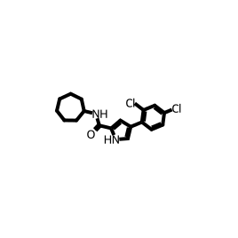 O=C(NC1CCCCCC1)c1cc(-c2ccc(Cl)cc2Cl)c[nH]1